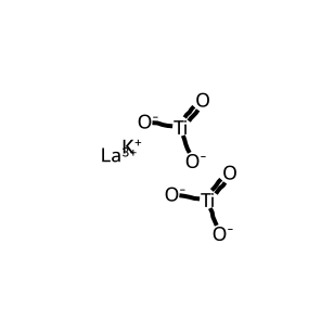 [K+].[La+3].[O]=[Ti]([O-])[O-].[O]=[Ti]([O-])[O-]